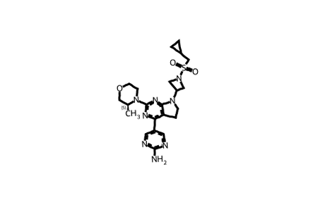 C[C@H]1COCCN1c1nc(-c2cnc(N)nc2)c2c(n1)N(C1CN(S(=O)(=O)CC3CC3)C1)CC2